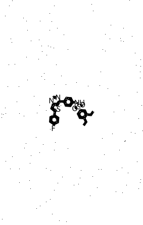 CCc1ccc(S(=O)(=O)Nc2ccc(-c3ncnc4cc(-c5ccc(F)cc5)sc34)cc2)cc1CC